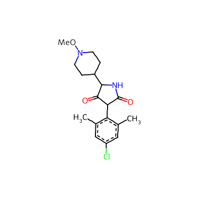 CON1CCC(C2NC(=O)C(c3c(C)cc(Cl)cc3C)C2=O)CC1